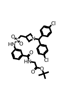 CC(C)(C)OC(=O)CNC(=O)c1cccc(NS(=O)(=O)CC2CN(C(c3ccc(Cl)cc3)c3ccc(Cl)cc3)C2)c1